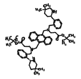 CC1(C)CBC(c2ccccc2CN(CCC(=O)OC(C)(C)C)Cc2c3ccccc3c(CN(CCC(=O)OC(C)(C)C)Cc3ccccc3C3BCC(C)(C)CC3)c3ccccc23)CC1